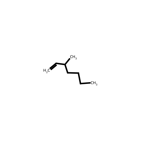 C=CC(C)CCCC